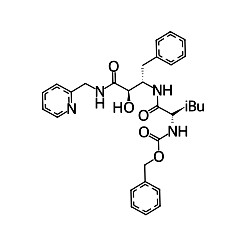 CC[C@H](C)[C@H](NC(=O)OCc1ccccc1)C(=O)N[C@@H](Cc1ccccc1)[C@@H](O)C(=O)NCc1ccccn1